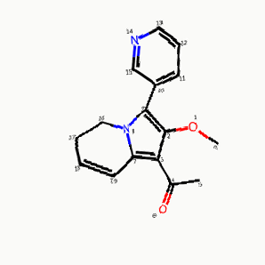 COc1c(C(C)=O)c2n(c1-c1cccnc1)CCC=C2